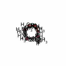 CC[C@H](C)[C@@H]1NC(=O)[C@H](CC(C)C)N(C)C(=O)C[C@@H](C(=O)N2CCCCC2)N(C)C(=O)[C@H](C2CCCCC2)N(C)C(=O)C2(CCCC2)NC(=O)[C@H](Cc2ccc(OC)cc2)N(C)C(=O)[C@H](CCc2ccc(C(F)(F)F)c(Cl)c2)NC(=O)CN(C)C(=O)[C@H](CC2CCCCC2)N(C)C(=O)CN(C)C(=O)CN(C)C1=O